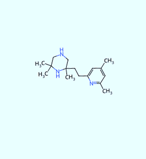 Cc1cc(C)nc(CCC2(C)CNCC(C)(C)N2)c1